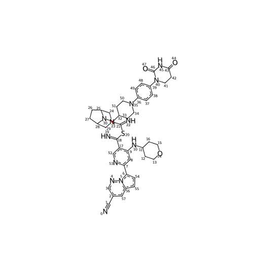 N#Cc1cnn2c(-c3cc(NC4CCOCC4)c(C(=N)SC(=N)N4CC5CCC(C4)N5CC4CCN(c5ccc(N6CCC(=O)NC6=O)cc5)CC4)cn3)ccc2c1